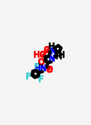 O=C(NCc1c(F)cc(F)cc1F)c1cn2c(c(O)c1=O)C(=O)N1[C@H]3CC[C@H](C3)[C@@H]1C2